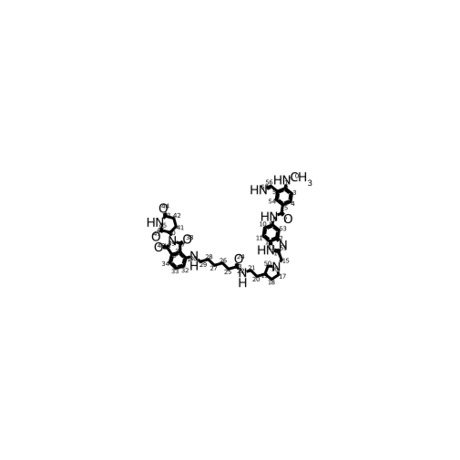 CNc1ccc(C(=O)Nc2ccc3[nH]c(CN4CCC(CCNC(=O)CCCCCNc5cccc6c5C(=O)N(C5CCC(=O)NC5=O)C6=O)C4)nc3c2)cc1C=N